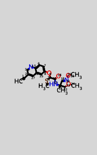 C#Cc1cnc2ccc(OC(SC)C(=O)NC(C)(C=NOC)COC)cc2c1